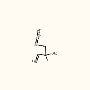 CC(=O)OC(I)(C=N)CN=[N+]=[N-]